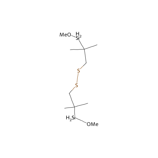 CO[SiH2]C(C)(C)CSSCC(C)(C)[SiH2]OC